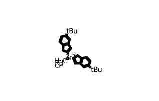 [CH2]=[Zr+2]([C]1=Cc2cc(C(C)(C)C)ccc2C1)[C]1=Cc2cc(C(C)(C)C)ccc2C1.[Cl-].[Cl-]